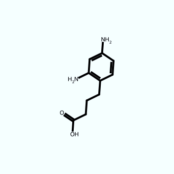 Nc1ccc(CCCC(=O)O)c(N)c1